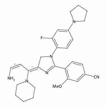 COc1cc(C#N)ccc1C1=N/C(=C(/C=C\N)N2CCCCC2)CN1c1ccc(N2CCCC2)cc1F